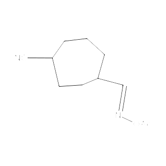 CC(=O)ON=CC1CCCC(C#N)CC1